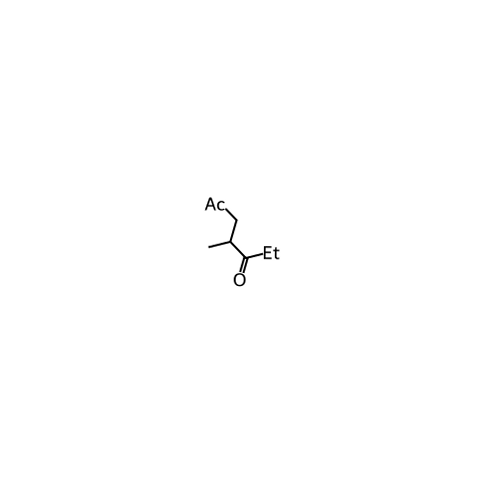 CCC(=O)C(C)CC(C)=O